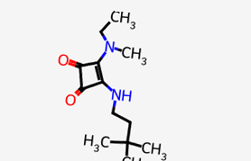 CCN(C)c1c(NCCC(C)(C)C)c(=O)c1=O